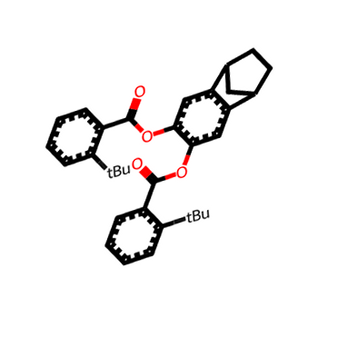 CC(C)(C)c1ccccc1C(=O)Oc1cc2c(cc1OC(=O)c1ccccc1C(C)(C)C)C1CCC2C1